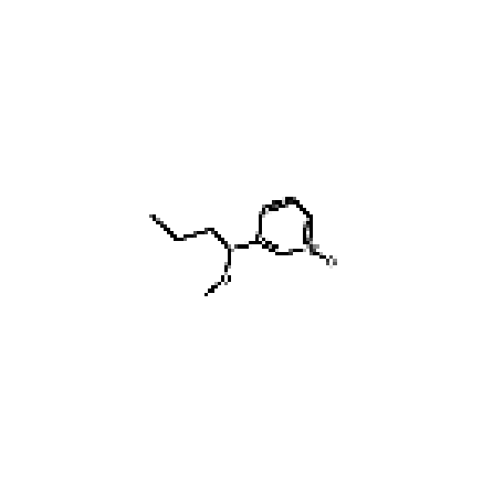 CCCC(OC)c1ccc[n+]([O-])c1